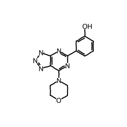 Oc1cccc(-c2nc3c(c(N4CCOCC4)n2)N=N[N]3)c1